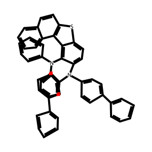 c1ccc(-c2ccc(N(c3ccccc3)c3ccc4sc5ccc6ccccc6c5c4c3N(c3ccccc3)c3ccc(-c4ccccc4)cc3)cc2)cc1